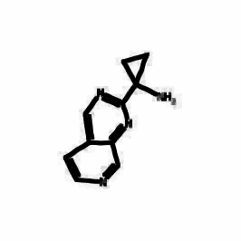 NC1(c2ncc3ccncc3n2)CC1